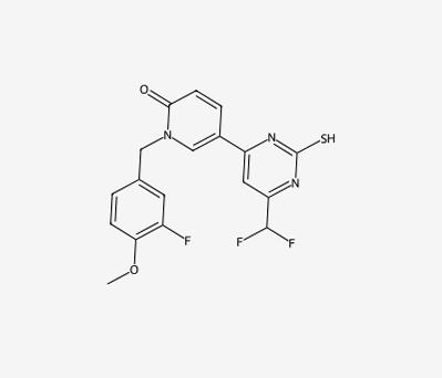 COc1ccc(Cn2cc(-c3cc(C(F)F)nc(S)n3)ccc2=O)cc1F